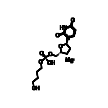 O=c1ccn([C@H]2CC[C@H](COP(=O)(O)OCCCCO)O2)c(=O)[nH]1.[Mg]